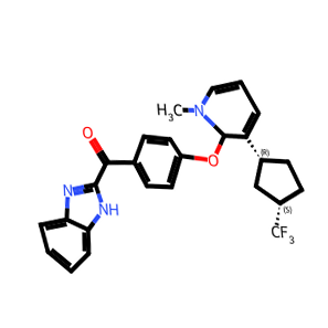 CN1C=CC=C([C@@H]2CC[C@H](C(F)(F)F)C2)C1Oc1ccc(C(=O)c2nc3ccccc3[nH]2)cc1